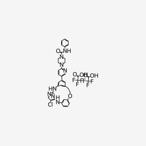 O=C(Nc1ccccc1)N1CCN(c2ccc(-c3cc4cc(c3)Nc3ncc(Cl)c(n3)Nc3cccc(c3)OCC4)cn2)CC1.O=C(O)C(F)(F)F.O=C(O)C(F)(F)F